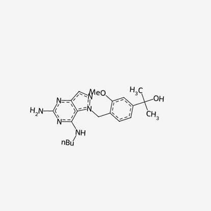 CCCCNc1nc(N)nc2cnn(Cc3ccc(C(C)(C)O)cc3OC)c12